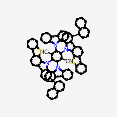 N#Cc1c(-n2c3ccccc3c3ccccc32)c(-n2c3cccc(-c4cccc5ccccc45)c3c3ccc4c5ccccc5sc4c32)c(C#N)c(-n2c3ccccc3c3ccccc32)c1-n1c2cc(-c3cccc4ccccc34)ccc2c2ccc3c4ccccc4sc3c21